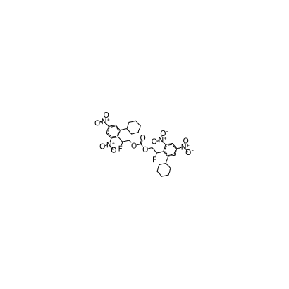 O=C(OCC(F)c1c(C2CCCCC2)cc([N+](=O)[O-])cc1[N+](=O)[O-])OCC(F)c1c(C2CCCCC2)cc([N+](=O)[O-])cc1[N+](=O)[O-]